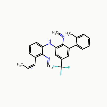 C=Nc1c(/C=C\C)cccc1Nc1cc(C(F)(F)F)cc(-c2ccccc2C)c1N=C